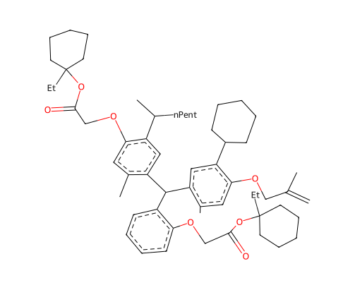 C=C(C)COc1cc(C)c(C(c2cc(C(C)CCCCC)c(OCC(=O)OC3(CC)CCCCC3)cc2C)c2ccccc2OCC(=O)OC2(CC)CCCCC2)cc1C1CCCCC1